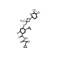 CC1(COc2cc(F)c(C(=O)NC(=O)C(=O)C3CC3)cc2C2CC2)CN(c2ccc(Cl)c(C(F)(F)F)n2)C1